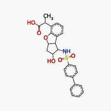 CC(C(=O)O)c1cccc2c1OC1CC(O)C(NS(=O)(=O)c3ccc(-c4ccccc4)cc3)C21